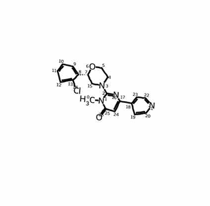 Cn1c(N2CCO[C@@H](c3ccccc3Cl)C2)nc(-c2ccncc2)cc1=O